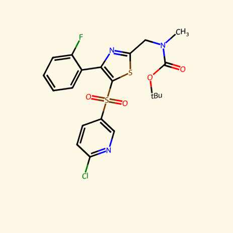 CN(Cc1nc(-c2ccccc2F)c(S(=O)(=O)c2ccc(Cl)nc2)s1)C(=O)OC(C)(C)C